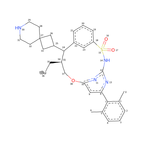 Cc1cccc(C)c1-c1cc2nc(n1)NS(=O)(=O)c1cccc(c1)C(C1CC3(CCNCC3)C1)[C@H](CC(C)(C)C)CO2